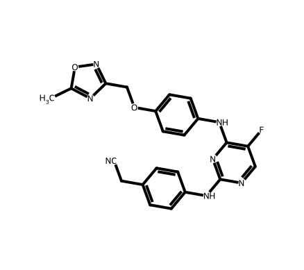 Cc1nc(COc2ccc(Nc3nc(Nc4ccc(CC#N)cc4)ncc3F)cc2)no1